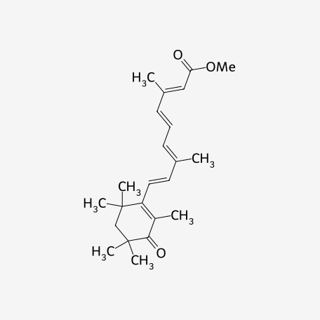 COC(=O)C=C(C)C=CC=C(C)C=CC1=C(C)C(=O)C(C)(C)CC1(C)C